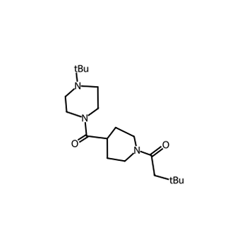 CC(C)(C)CC(=O)N1CCC(C(=O)N2CCN(C(C)(C)C)CC2)CC1